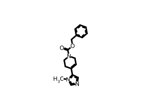 Cn1cncc1C1=CCN(C(=O)OCc2ccccc2)CC1